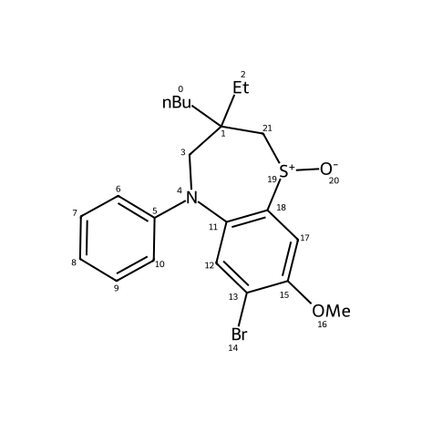 CCCCC1(CC)CN(c2ccccc2)c2cc(Br)c(OC)cc2[S+]([O-])C1